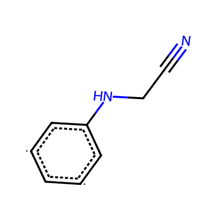 N#CCNc1c[c]c[c]c1